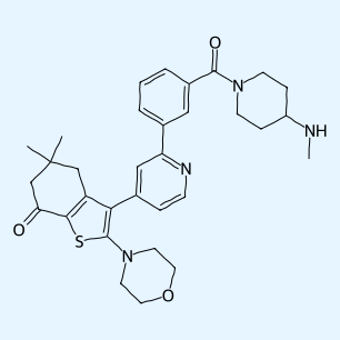 CNC1CCN(C(=O)c2cccc(-c3cc(-c4c(N5CCOCC5)sc5c4CC(C)(C)CC5=O)ccn3)c2)CC1